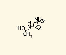 CC(O)CNCCC(N)(C1CCC1)C1CCC1